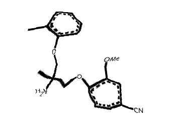 COc1cc(C#N)ccc1OCC(C)(N)COc1ccccc1C